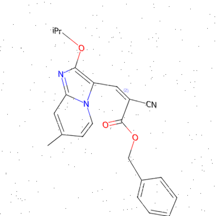 Cc1ccn2c(/C=C(/C#N)C(=O)OCc3ccccc3)c(OC(C)C)nc2c1